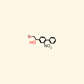 O=[N+]([O-])c1cc([C@H](O)CBr)ccc1-c1ccccc1